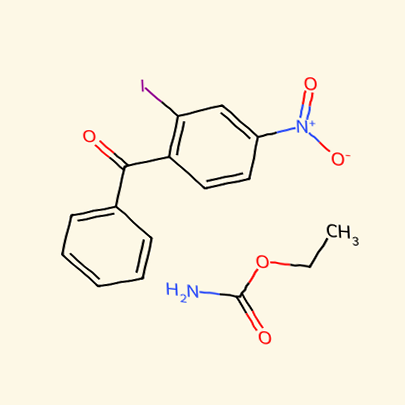 CCOC(N)=O.O=C(c1ccccc1)c1ccc([N+](=O)[O-])cc1I